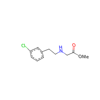 COC(=O)CNCCc1cccc(Cl)c1